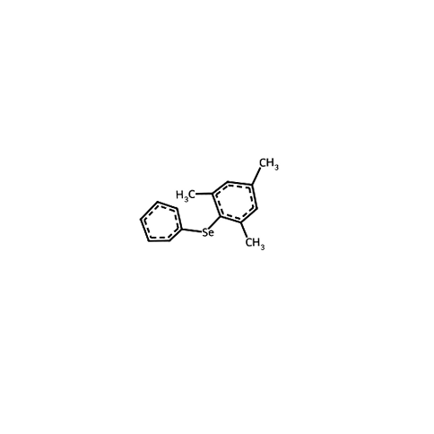 Cc1cc(C)c([Se]c2ccccc2)c(C)c1